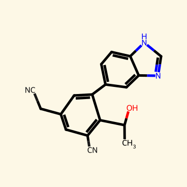 CC(O)c1c(C#N)cc(CC#N)cc1-c1ccc2[nH]cnc2c1